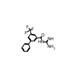 N=C(N)NC(=O)c1cc(-c2ccccc2)cc(C(F)(F)F)c1